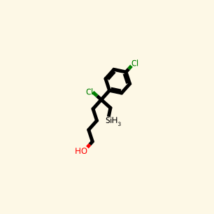 OCCCCC(Cl)(C[SiH3])c1ccc(Cl)cc1